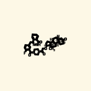 C[C@]12CCC(=O)C[C@@H]1CC[C@@H]1[C@@H]2CC[C@]2(C)[C@@H](OCC(=O)N3CCN(C(=O)c4cc(Cc5n[nH]c(=O)c6ccccc56)ccc4F)CC3)CC[C@@H]12